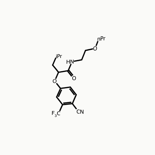 CCCOCCNC(=O)C(CC(C)C)Oc1ccc(C#N)c(C(F)(F)F)c1